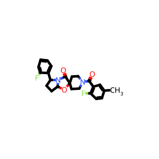 Cc1ccc(F)c(C(=O)N2CCC3(CC2)OC2CCC(c4ccccc4F)N2C3=O)c1